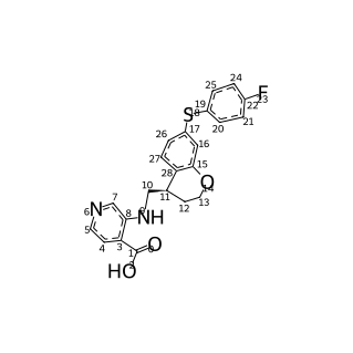 O=C(O)c1ccncc1NC[C@@H]1CCOc2cc(Sc3ccc(F)cc3)ccc21